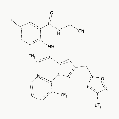 Cc1cc(I)cc(C(=O)NCC#N)c1NC(=O)c1cc(Cn2nnc(C(F)(F)F)n2)nn1-c1ncccc1C(F)(F)F